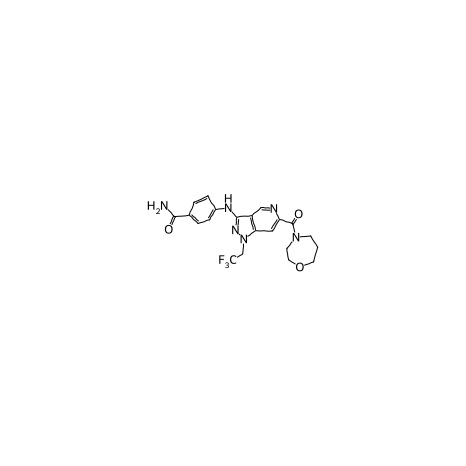 NC(=O)c1ccc(Nc2nn(CC(F)(F)F)c3cc(C(=O)N4CCCOCC4)ncc23)cc1